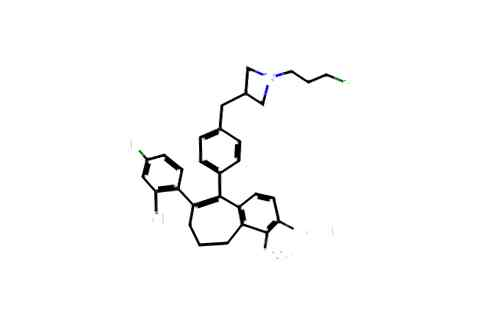 COc1c(C(=O)O)ccc2c1CCCC(c1ccc(F)cc1C(F)(F)F)=C2c1ccc(CC2CN(CCCF)C2)cc1